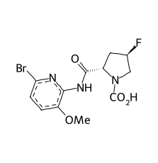 COc1ccc(Br)nc1NC(=O)[C@@H]1C[C@@H](F)CN1C(=O)O